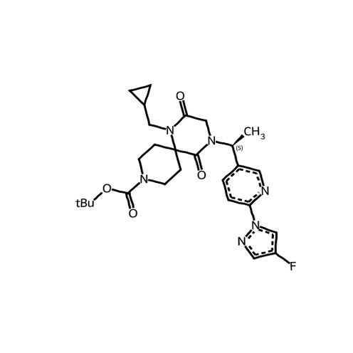 C[C@@H](c1ccc(-n2cc(F)cn2)nc1)N1CC(=O)N(CC2CC2)C2(CCN(C(=O)OC(C)(C)C)CC2)C1=O